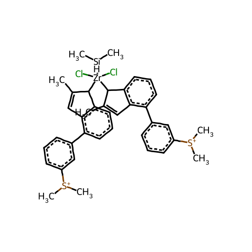 CC1=Cc2c(-c3cccc([S+](C)C)c3)cccc2[CH]1[Zr]([Cl])([Cl])([CH]1C(C)=Cc2c(-c3cccc([S+](C)C)c3)cccc21)[SiH](C)C